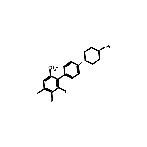 CCC[C@H]1CC[C@H](c2ccc(-c3c(C(=O)O)cc(F)c(F)c3F)cc2)CC1